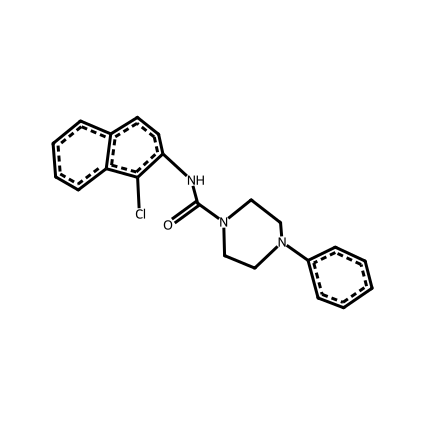 O=C(Nc1ccc2ccccc2c1Cl)N1CCN(c2ccccc2)CC1